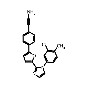 Cc1ccc(-n2ccnc2-c2ccc(-c3ccc(C#CN)cc3)o2)cc1Cl